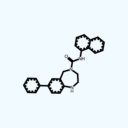 O=C(Nc1cccc2ccccc12)N1CCNc2ccc(-c3ccccc3)cc2C1